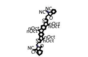 [C-]#[N+]/C(C#N)=C1\c2ccccc2C(=O)C1Cc1cc2c(s1)-c1cc3c(cc1C2(CCCCCCCC)CCCCCCCC)-c1cc2c(cc1C3(CCCCCCCC)CCCCCCCC)-c1sc(/C=C3\C(=O)c4ccccc4C3=C(C#N)C#N)cc1C2(CCCCCCCC)CCCCCCCC